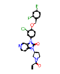 C=CC(=O)N1CCC(n2c(=O)n(-c3ccc(OCc4ccc(F)cc4F)c(Cl)c3)c3cnccc32)C1